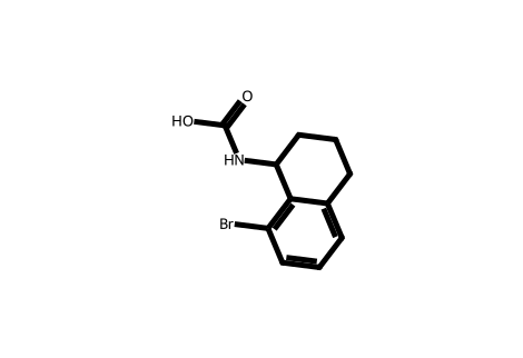 O=C(O)NC1CCCc2cccc(Br)c21